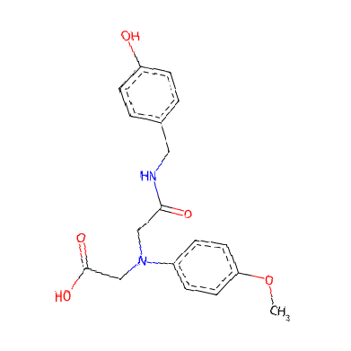 COc1ccc(N(CC(=O)O)CC(=O)NCc2ccc(O)cc2)cc1